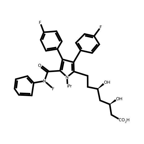 CC(C)n1c(CC[C@@H](O)C[C@@H](O)CC(=O)O)c(-c2ccc(F)cc2)c(-c2ccc(F)cc2)c1C(=O)N(F)c1ccccc1